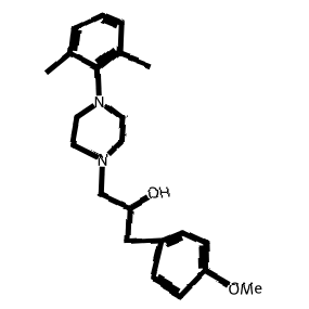 COc1ccc(CC(O)CN2C[CH]N(c3c(C)cccc3C)CC2)cc1